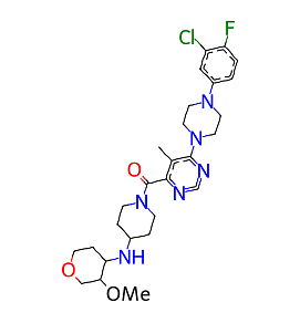 COC1COCCC1NC1CCN(C(=O)c2ncnc(N3CCN(c4ccc(F)c(Cl)c4)CC3)c2C)CC1